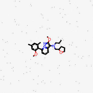 CCCN(CC1CCCO1)c1c(OC)nn2c(-c3c(C)cc(C)cc3OC)cccc12